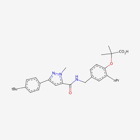 CCCc1cc(CNC(=O)c2cc(-c3ccc(C(C)(C)C)cc3)nn2C)ccc1OC(C)(C)C(=O)O